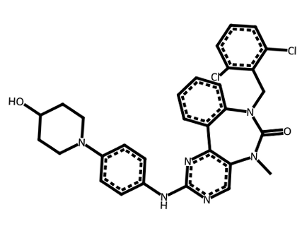 CN1C(=O)N(Cc2c(Cl)cccc2Cl)c2ccccc2-c2nc(Nc3ccc(N4CCC(O)CC4)cc3)ncc21